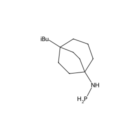 CCC(C)C12CCCC(NP)(CC1)CC2